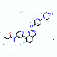 C=CC(=O)Nc1ccnc(-c2c(F)ccc3cnc(Nc4ccc(N5CCNCC5)nc4)nc23)c1